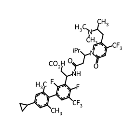 Cc1cc(C2CC2)cc(C)c1-c1cc(C(F)(F)F)c(F)c(C(CC(=O)O)NC(=O)CC(C(C)C)n2cc(CC(C)N(C)C)c(C(F)(F)F)cc2=O)c1F